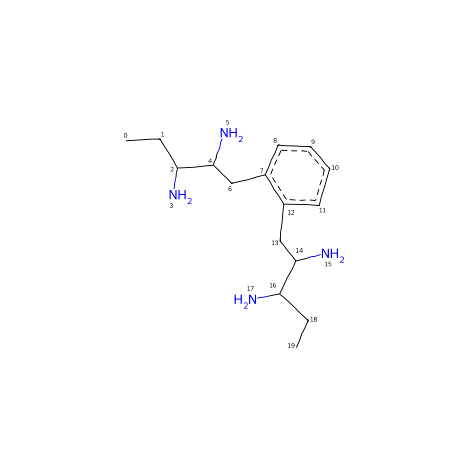 CCC(N)C(N)Cc1ccccc1CC(N)C(N)CC